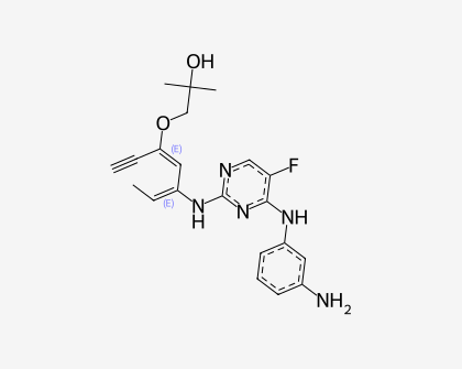 C#C/C(=C\C(=C/C)Nc1ncc(F)c(Nc2cccc(N)c2)n1)OCC(C)(C)O